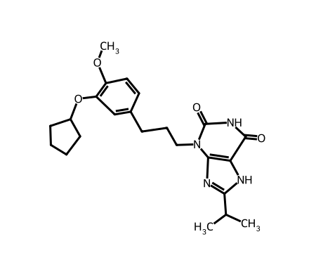 COc1ccc(CCCn2c(=O)[nH]c(=O)c3[nH]c(C(C)C)nc32)cc1OC1CCCC1